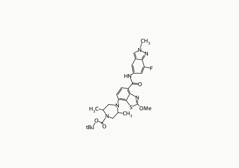 COc1nc2c(C(=O)Nc3cc(F)c4nn(C)cc4c3)ccc(N3CC(C)N(C(=O)OC(C)(C)C)CC3C)c2s1